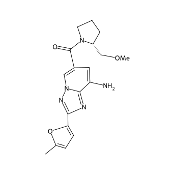 COC[C@H]1CCCN1C(=O)c1cc(N)c2nc(-c3ccc(C)o3)nn2c1